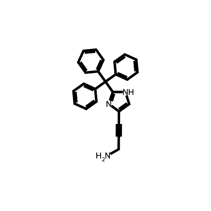 NCC#Cc1c[nH]c(C(c2ccccc2)(c2ccccc2)c2ccccc2)n1